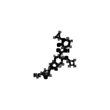 CC12CC(n3cc4cc(C(=O)Nc5cccn(C6CC6)c5=O)c(OC5CCC5)cc4n3)(CO1)C2